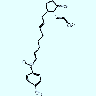 CC(=O)OCC[C@H]1C(=O)CC[C@@H]1C/C=C/CCCCC[S+]([O-])c1ccc(C)cc1